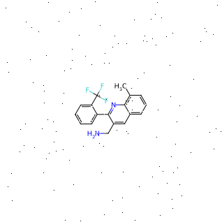 Cc1cccc2cc(CN)c(-c3ccccc3C(F)(F)F)nc12